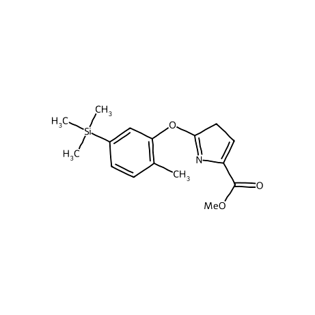 COC(=O)C1=CCC(Oc2cc([Si](C)(C)C)ccc2C)=N1